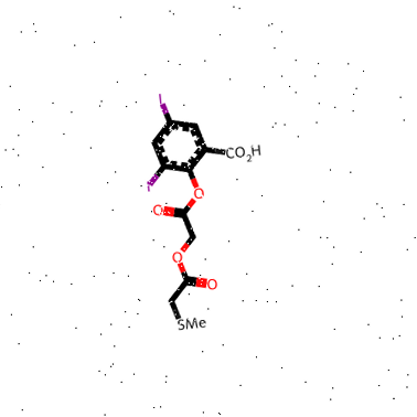 CSCC(=O)OCC(=O)Oc1c(I)cc(I)cc1C(=O)O